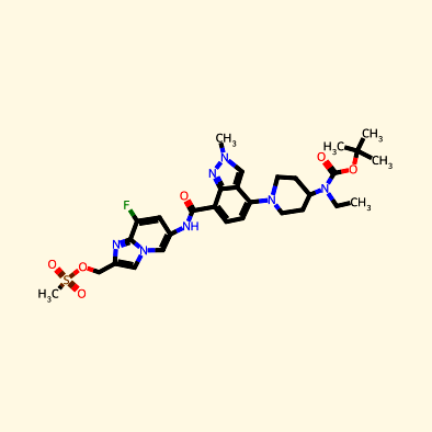 CCN(C(=O)OC(C)(C)C)C1CCN(c2ccc(C(=O)Nc3cc(F)c4nc(COS(C)(=O)=O)cn4c3)c3nn(C)cc23)CC1